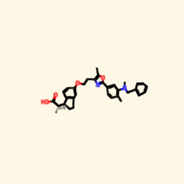 Cc1ccc(-c2nc(CCOc3ccc4c(c3)CC[C@H]4[C@H](C)C(=O)O)c(C)o2)cc1N(C)Cc1ccccc1